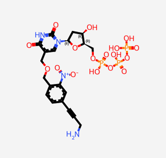 NCC#Cc1ccc(COCc2cn([C@H]3C[C@@H](O)[C@@H](COP(=O)(O)OP(=O)(O)OP(=O)(O)O)O3)c(=O)[nH]c2=O)c([N+](=O)[O-])c1